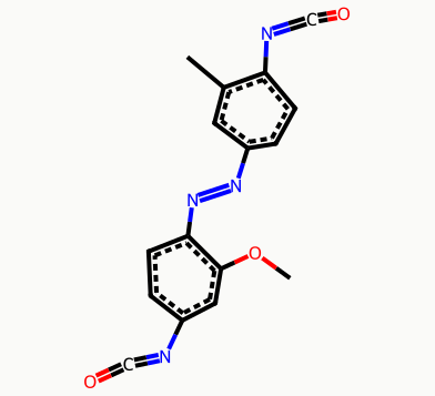 COc1cc(N=C=O)ccc1/N=N/c1ccc(N=C=O)c(C)c1